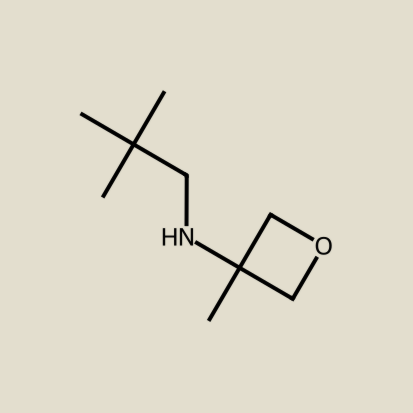 CC(C)(C)CNC1(C)COC1